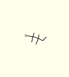 CCC(C)(C)[C](C)(C)[Sn]